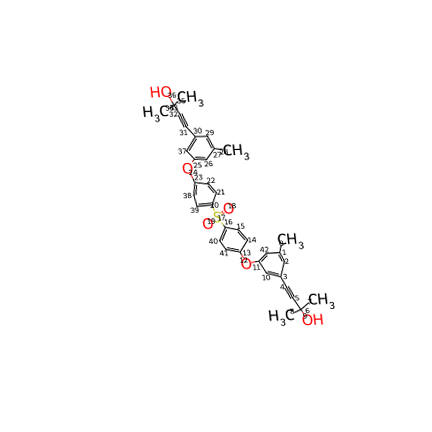 Cc1cc(C#CC(C)(C)O)cc(Oc2ccc(S(=O)(=O)c3ccc(Oc4cc(C)cc(C#CC(C)(C)O)c4)cc3)cc2)c1